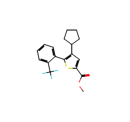 COC(=O)c1cc(C2CCCC2)c(-c2ccccc2C(F)(F)F)s1